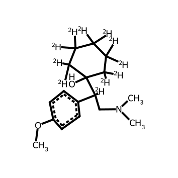 [2H]C1([2H])C([2H])([2H])C([2H])([2H])C(O)([C@]([2H])(CN(C)C)c2ccc(OC)cc2)C([2H])([2H])C1([2H])[2H]